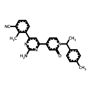 Cc1ccc(C(C)n2ccc(-c3cc(-c4cccc(C#N)c4C)nc(N)n3)cc2=O)cc1